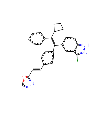 Fc1n[nH]c2ccc(/C(=C(/c3ccccc3)C3CCC3)c3ccc(C=Cc4nnco4)cc3)cc12